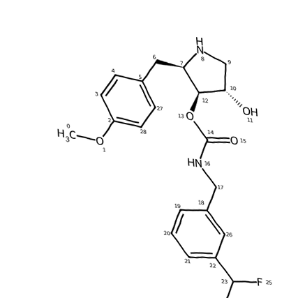 COc1ccc(C[C@H]2NC[C@H](O)[C@H]2OC(=O)NCc2cccc(C(F)F)c2)cc1